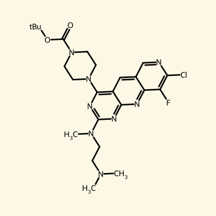 CN(C)CCN(C)c1nc(N2CCN(C(=O)OC(C)(C)C)CC2)c2cc3cnc(Cl)c(F)c3nc2n1